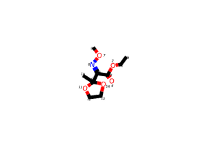 CCOC(=O)C(=NOC)C1(C)OCCO1